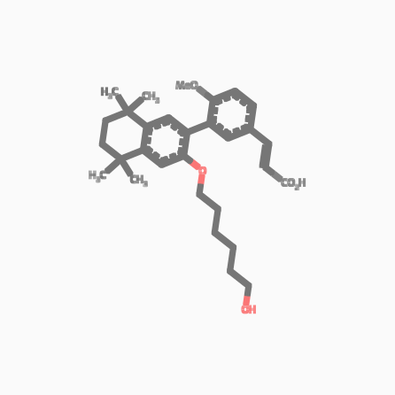 COc1ccc(C=CC(=O)O)cc1-c1cc2c(cc1OCCCCCCO)C(C)(C)CCC2(C)C